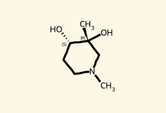 CN1CC[C@H](O)[C@](C)(O)C1